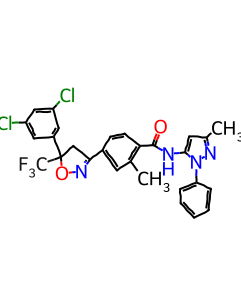 Cc1cc(NC(=O)c2ccc(C3=NOC(c4cc(Cl)cc(Cl)c4)(C(F)(F)F)C3)cc2C)n(-c2ccccc2)n1